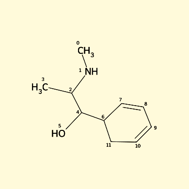 CNC(C)C(O)C1C=CC=CC1